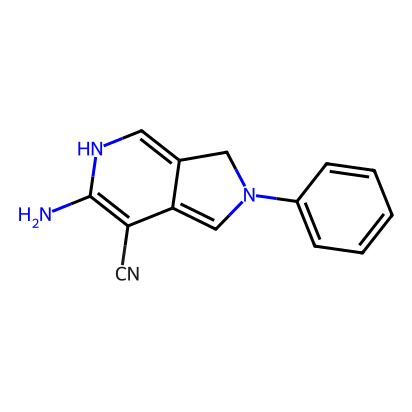 N#CC1=C(N)NC=C2CN(c3ccccc3)C=C21